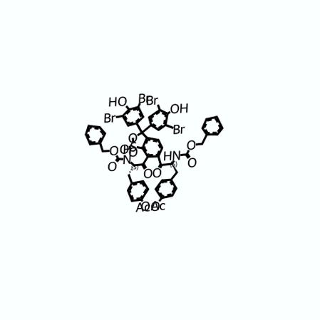 CC(=O)Oc1ccc(C[C@H](NC(=O)OCc2ccccc2)C(=O)c2ccc3c(c2C(=O)[C@H](Cc2ccc(OC(C)=O)cc2)NC(=O)OCc2ccccc2)S(=O)(=O)OC3(c2cc(Br)c(O)c(Br)c2)c2cc(Br)c(O)c(Br)c2)cc1